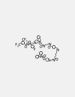 CN(CCCCCC(=O)N(C)CCN1CCC(OC(=O)Nc2ccccc2-c2ccccc2)CC1)Cc1ccc(C(=O)N(C)CCCN(C)C(=O)CO[C@H]2Cc3ccccc3C23CCN(CC[C@]2(c4ccc(F)cc4)CN(C(=O)c4cc(C(F)(F)F)cc(C(F)(F)F)c4)CO2)CC3)cc1